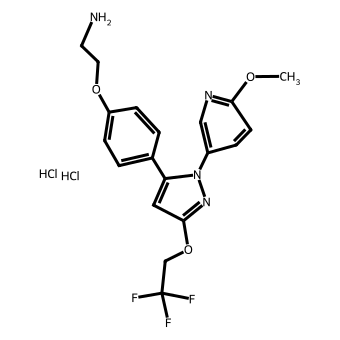 COc1ccc(-n2nc(OCC(F)(F)F)cc2-c2ccc(OCCN)cc2)cn1.Cl.Cl